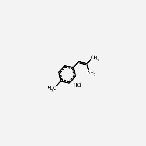 CC(N)=Cc1ccc(C)cc1.Cl